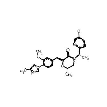 COc1cc(/C=C2\O[C@@H](C)CN([C@@H](C)c3ccc(Cl)cn3)C2=O)ccc1-n1cnc(C)c1